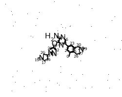 Cc1cc(-c2cnc(N)c(Oc3cnn([C@H]4CCN(C)C4)c3)n2)cc2c1CCN(C)C2